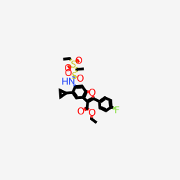 CCOC(=O)c1c(-c2ccc(F)cc2)oc2cc(NS(=O)(=O)C(C)S(=O)(=O)CC)c(C3CC3)cc12